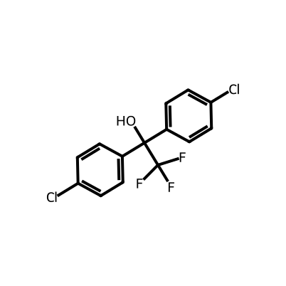 OC(c1ccc(Cl)cc1)(c1ccc(Cl)cc1)C(F)(F)F